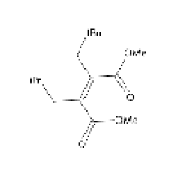 COC(=O)C(CC(C)C)=C(CC(C)(C)C)C(=O)OC